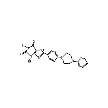 CCn1c(=O)c2[nH]c(-c3ccc(N4CCN(c5ncccn5)CC4)nc3)nc2n(CC)c1=O